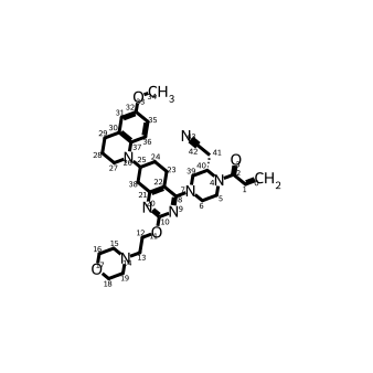 C=CC(=O)N1CCN(c2nc(OCCN3CCOCC3)nc3c2CCC(N2CCCc4cc(OC)ccc42)C3)C[C@@H]1CC#N